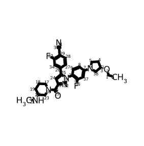 CCO[C@H]1CCN(c2ccc(-n3nc(C(=O)N4CCC[C@@H](NC)C4)cc3-c3ccc(C#N)c(F)c3)c(F)c2)C1